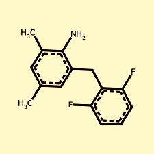 Cc1cc(C)c(N)c(Cc2c(F)cccc2F)c1